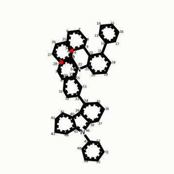 c1ccc(-c2ccccc2-c2c(-c3ccccc3)cccc2N(c2ccccc2)c2cccc(-c3cccc4c3c3ccccc3n4-c3ccccc3)c2)cc1